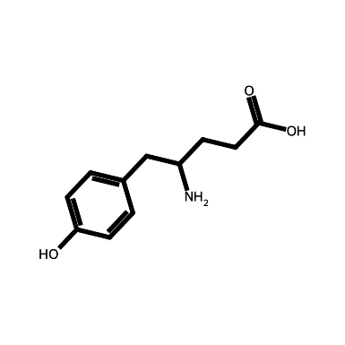 NC(CCC(=O)O)Cc1ccc(O)cc1